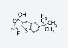 CC(C)(C)c1ccc2c(c1)C=C(C(=O)O)[C@@H](C(F)(F)F)S2